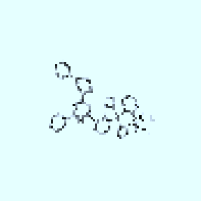 C[Si]1(C)c2ccccc2C2(c3ccccc3-c3c(-c4cc(-c5cccc(-c6ccccc6)c5)nc(-c5ccccc5)n4)cccc32)c2ccccc21